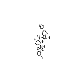 O=C(c1c(F)ccc(NS(=O)(=O)c2cccc(F)c2)c1F)c1c[nH]c2ncc(-c3cncs3)cc12